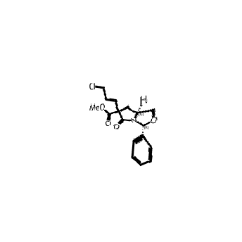 COC(=O)C1(CCCCl)C[C@H]2CO[C@H](c3ccccc3)N2C1=O